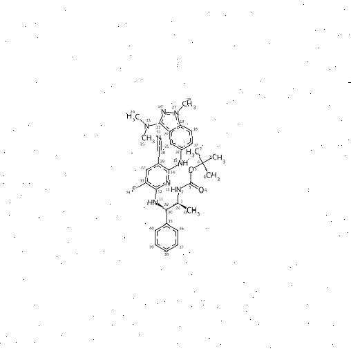 C[C@H](NC(=O)OC(C)(C)C)[C@H](Nc1nc(Nc2ccc3c(c2)c(N(C)C)nn3C)c(C#N)cc1F)c1ccccc1